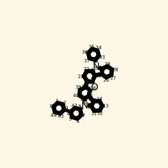 c1ccc(-c2cccc(-n3c4ccccc4c4c5oc6c(ccc7c6c6ccccc6n7-c6ccccc6)c5ccc43)c2)cc1